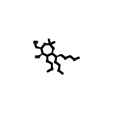 COCOC[C@H](OCOC)[C@H]1OC(C)(C)O[C@H](CO)[C@@H](O)C1OCOC